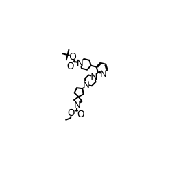 CCOC(=O)N1CC2(CC[C@@H](N3CCN(c4ncccc4C4CCN(C(=O)OC(C)(C)C)CC4)CC3)C2)C1